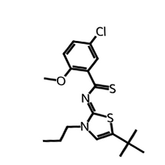 CCCn1cc(C(C)(C)C)s/c1=N\C(=S)c1cc(Cl)ccc1OC